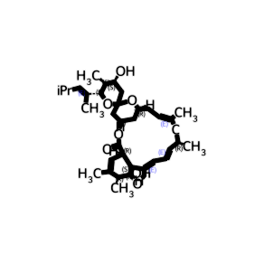 CC1=C[C@H]2C(=O)O[C@H]3C[C@@H](C/C=C(\C)C[C@@H](C)/C=C/C=C4\CO[C@H]([C@@H]1C)[C@@]42O)OC1(C3)C[C@H](O)[C@H](C)[C@@H](/C(C)=C/C(C)C)O1